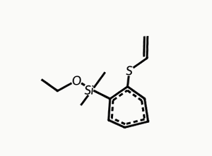 C=CSc1ccccc1[Si](C)(C)OCC